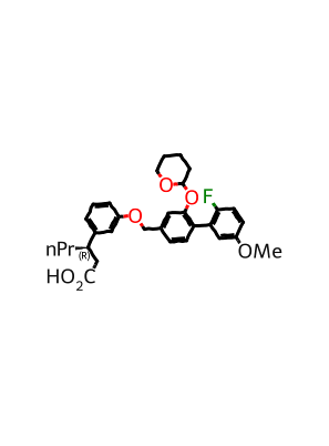 CCC[C@H](CC(=O)O)c1cccc(OCc2ccc(-c3cc(OC)ccc3F)c(OC3CCCCO3)c2)c1